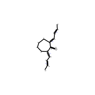 C/C=C/C=C1\CCCC/C(=C\C=C\C)C1=O